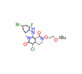 Cn1c(Nc2ccc(Br)cc2F)c2c(c(Cl)c1=O)CCN(OCCOC(C)(C)C)C2=O